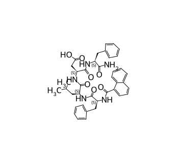 CC(C)C[C@H](NC(=O)[C@H](Cc1ccccc1)NC(=O)c1cccc2ccccc12)C(=O)N[C@@H](CC(=O)O)C(=O)N[C@@H](Cc1ccccc1)C(N)=O